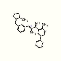 CC1CCCN1Cc1cccc(/C=C(\N)C(=N)c2cc(-c3cccnc3)ccc2N)c1